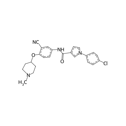 CN1CCC(Oc2ccc(NC(=O)c3ccn(-c4ccc(Cl)cc4)c3)cc2C#N)CC1